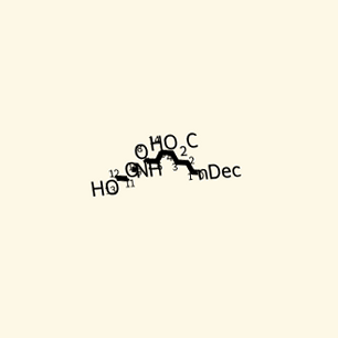 CCCCCCCCCCCCCCC(CC(=O)NOCCO)C(=O)O